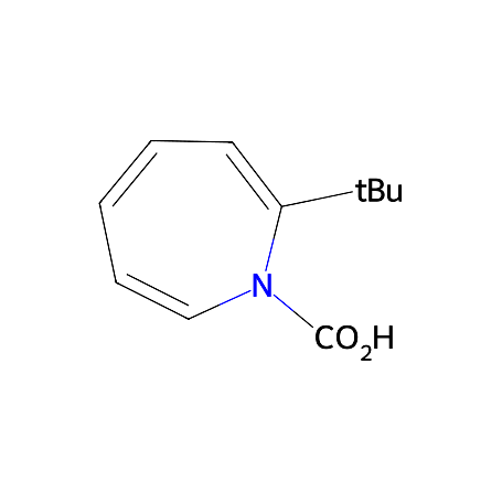 CC(C)(C)C1=CC=CC=CN1C(=O)O